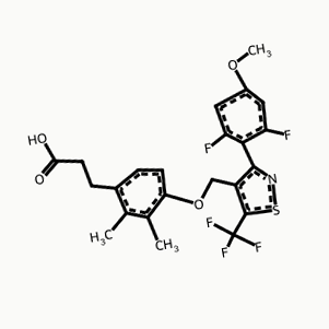 COc1cc(F)c(-c2nsc(C(F)(F)F)c2COc2ccc(CCC(=O)O)c(C)c2C)c(F)c1